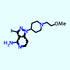 COCCN1CCC(n2nc(I)c3c(N)nccc32)CC1